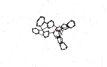 c1ccc(-c2nc(-c3ccccc3)nc(-c3ccc4c(c3)C3(c5ccccc5-4)c4ccccc4-c4ccc(-c5nc(-c6ccccc6)nc(-c6ccccc6)n5)cc43)n2)cc1